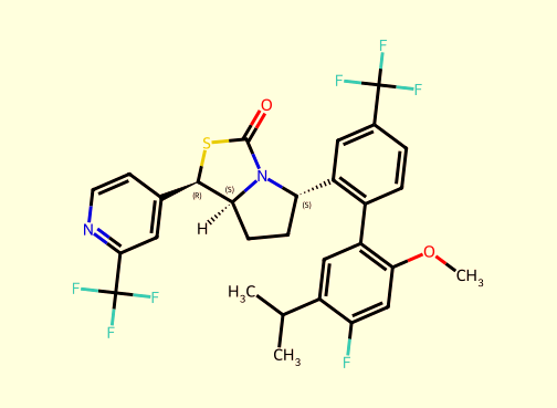 COc1cc(F)c(C(C)C)cc1-c1ccc(C(F)(F)F)cc1[C@@H]1CC[C@H]2[C@@H](c3ccnc(C(F)(F)F)c3)SC(=O)N12